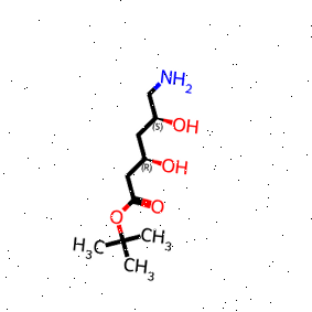 CC(C)(C)OC(=O)C[C@H](O)C[C@H](O)CN